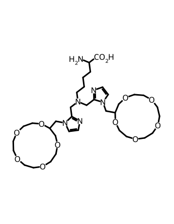 NC(CCCCN(Cc1nccn1CC1COCCOCCOCCOCCO1)Cc1nccn1CC1COCCOCCOCCOCCO1)C(=O)O